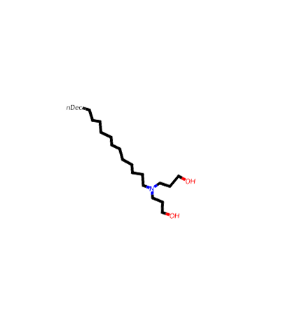 CCCCCCCCCCCCCCCCCCCCCCN(CCCO)CCCO